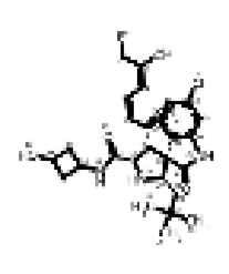 C=C(/C=C\C=C(\Cl)CF)[C@H]1[C@H](C(=O)NC2CC(O)C2)N[C@H](CC(C)(C)C)[C@]12C(=O)Nc1cc(Cl)ccc12